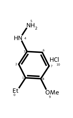 CCc1cc(NN)ccc1OC.Cl